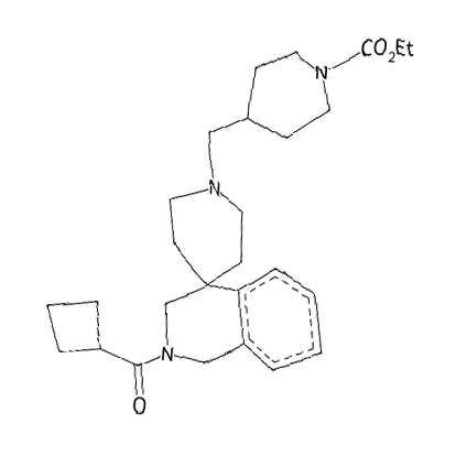 CCOC(=O)N1CCC(CN2CCC3(CC2)CN(C(=O)C2CCC2)Cc2ccccc23)CC1